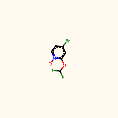 [O-][n+]1ccc(Br)cc1OC(F)F